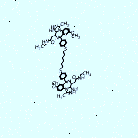 CCNC(=O)C[C@@H]1N=C(c2ccc(SCCCCCCSc3ccc(C4=N[C@@H](CC(=O)NCC)C5NNC(C)N5c5ccc(OC)cc54)cc3)cc2)c2cc(OC)ccc2N2C(C)NNC12